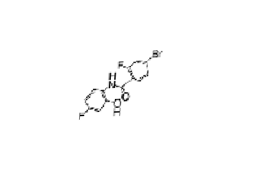 O=C(Nc1ccc(F)cc1O)c1ccc(Br)cc1F